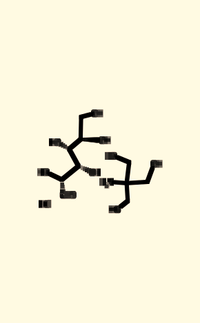 Cl.NC(CO)(CO)CO.O=C[C@H](O)[C@@H](O)[C@H](O)[C@H](O)CO